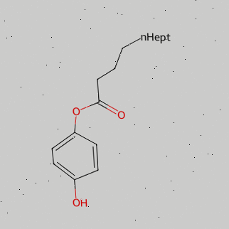 CCCCCCCCCCC(=O)Oc1ccc(O)cc1